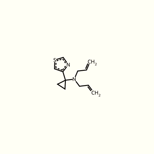 C=CCN(CC=C)C1(c2cscn2)CC1